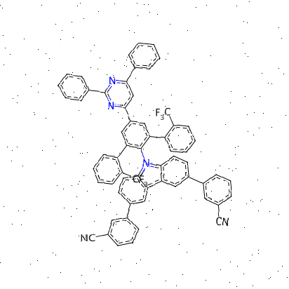 N#Cc1cccc(-c2ccc3c(c2)c2cc(-c4cccc(C#N)c4)ccc2n3-c2c(-c3ccccc3C(F)(F)F)cc(-c3cc(-c4ccccc4)nc(-c4ccccc4)n3)cc2-c2ccccc2C(F)(F)F)c1